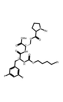 COC(=O)[C@H](COC(=O)C1CCCN1C(C)=O)NC(=O)[C@H](Cc1cc(F)cc(F)c1)NC(=O)OCCCCC(C)C